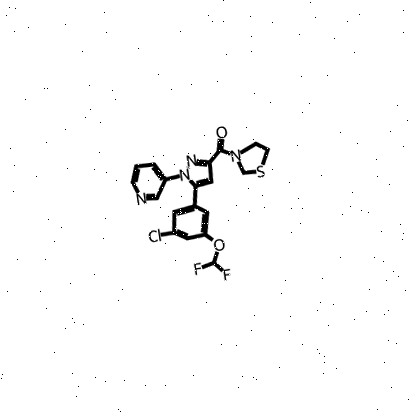 O=C(c1cc(-c2cc(Cl)cc(OC(F)F)c2)n(-c2cccnc2)n1)N1CCSC1